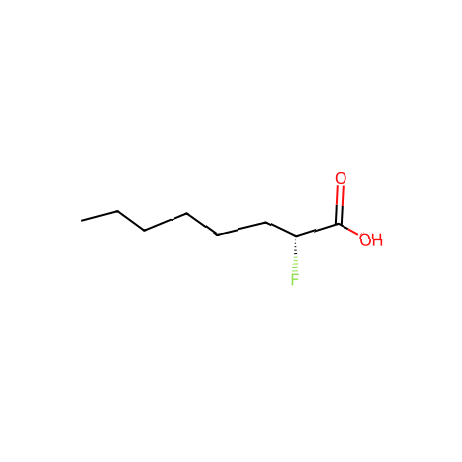 CCCCCC[C@@H](F)C(=O)O